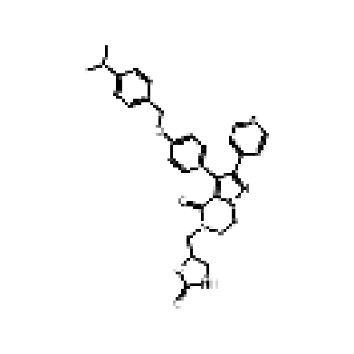 CC(C)c1ccc(COc2ccc(-c3c(-c4ccncc4)nn4c3C(=O)N(CC3CNC(=O)O3)CC4)cc2)cc1